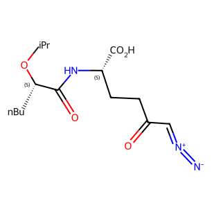 CCCC[C@H](OC(C)C)C(=O)N[C@@H](CCC(=O)C=[N+]=[N-])C(=O)O